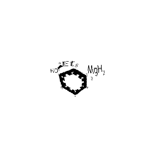 CCO.[MgH2].c1ccccc1